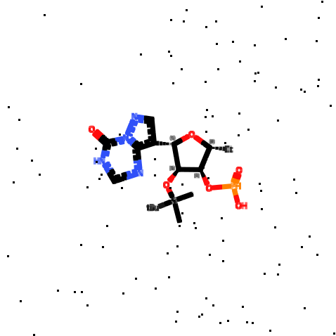 CC[C@H]1O[C@@H](c2cnn3c(=O)[nH]cnc23)[C@H](O[Si](C)(C)C(C)(C)C)[C@@H]1O[PH](=O)O